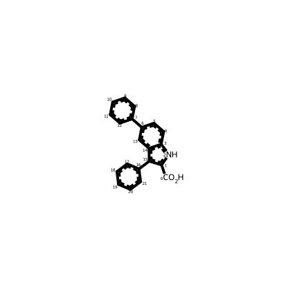 O=C(O)c1[nH]c2ccc(-c3ccccc3)cc2c1-c1ccccc1